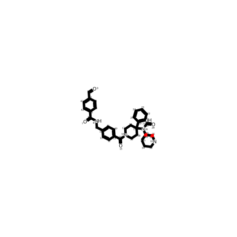 O=Cc1ccc(C(=O)NCc2ccc(C(=O)N3CCC(c4ccccc4)(N(C(=O)O)C4CN5CCC4CC5)CC3)cc2)cc1